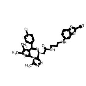 Cc1sc2c(c1C)C(c1ccc(Cl)cc1)=N[C@@H](CC(=O)NCCCNc1ccc3sc(C#N)nc3c1)c1nnc(C)n1-2